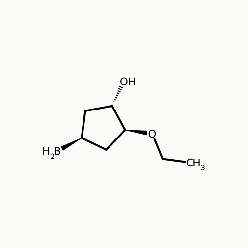 B[C@@H]1C[C@H](OCC)[C@@H](O)C1